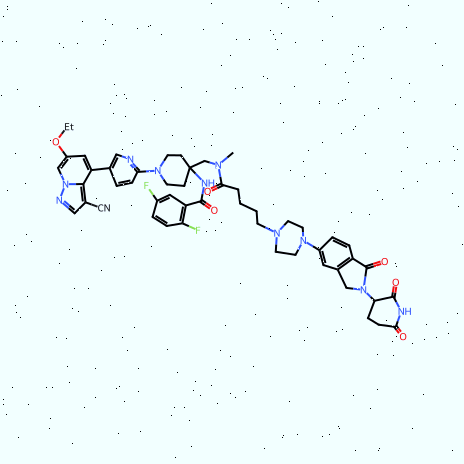 CCOc1cc(-c2ccc(N3CCC(CN(C)C(=O)CCCCN4CCN(c5ccc6c(c5)CN(C5CCC(=O)NC5=O)C6=O)CC4)(NC(=O)c4cc(F)ccc4F)CC3)nc2)c2c(C#N)cnn2c1